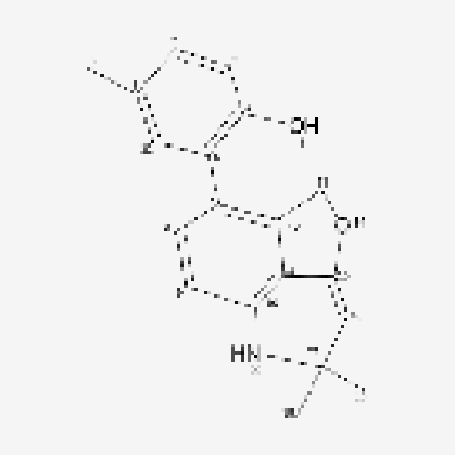 Cc1ccc(O)c(-c2ccc3c4c2COC4=CC(C)(C)N3)c1